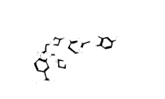 O=C(O)c1ccc2nc(CN3CC(Oc4ccnc(COc5ccc(F)cc5F)n4)C3)n(C[C@@H]3CCO3)c2c1